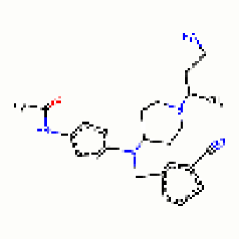 CC(=O)Nc1ccc(N(Cc2cccc(C#N)c2)C2CCN(C(C)CCN)CC2)cc1